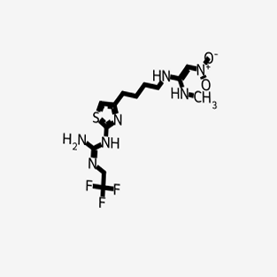 CN/C(=C\[N+](=O)[O-])NCCCCc1csc(N/C(N)=N\CC(F)(F)F)n1